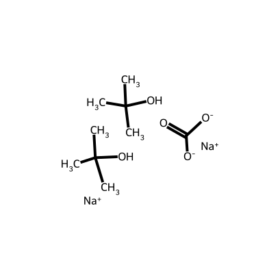 CC(C)(C)O.CC(C)(C)O.O=C([O-])[O-].[Na+].[Na+]